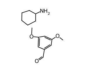 COc1cc(C=O)cc(OC)c1.NC1CCCCC1